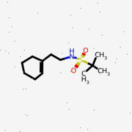 CC(C)(C)S(=O)(=O)NCCC1=CCCCC1